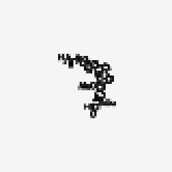 COc1nc(-c2cccc(-c3cccc(-c4ccn5c(=O)c(CN6CCC6C(N)=O)cnc5c4)c3Cl)c2Cl)ccc1CN(C[C@@H]1CCC(=O)N1)C(=O)OC(C)(C)C